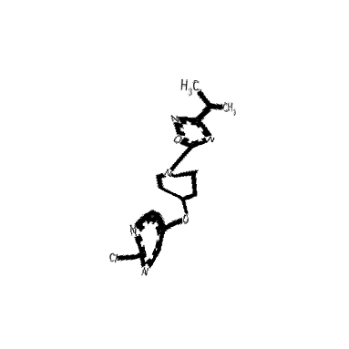 CC(C)c1noc(N2CCC(Oc3cnc(Cl)nc3)CC2)n1